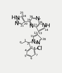 CCC(c1ccccc1Cl)n1cc(-c2c[nH]c3ncc(-c4cn[nH]c4C)nc23)cn1